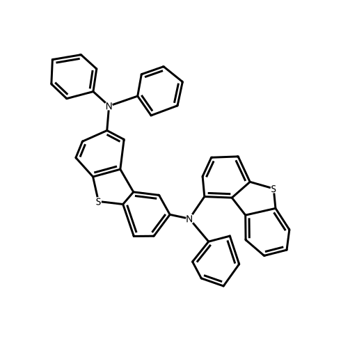 c1ccc(N(c2ccccc2)c2ccc3sc4ccc(N(c5ccccc5)c5cccc6sc7ccccc7c56)cc4c3c2)cc1